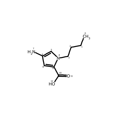 CCCCn1cc(N)cc1C(=O)O